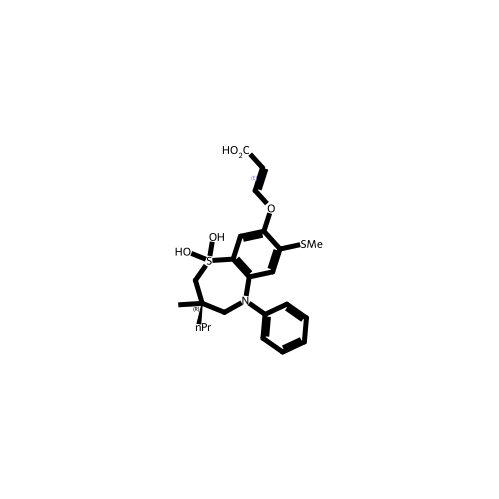 CCC[C@]1(C)CN(c2ccccc2)c2cc(SC)c(O/C=C/C(=O)O)cc2S(O)(O)C1